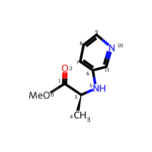 COC(=O)[C@H](C)Nc1cccnc1